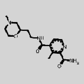 Cc1c(C(=O)NCCC2CN(C)CCO2)ccnc1C(N)=O